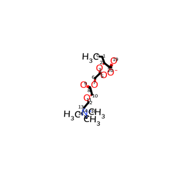 CCC(OC(=O)COC(=O)COCC[N+](C)(C)C)C(=O)[O-]